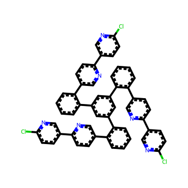 Clc1ccc(-c2ccc(-c3ccccc3-c3cc(-c4ccccc4-c4ccc(-c5ccc(Cl)nc5)nc4)cc(-c4ccccc4-c4ccc(-c5ccc(Cl)nc5)nc4)c3)cn2)cn1